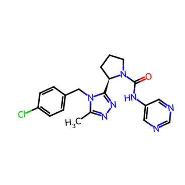 Cc1nnc([C@H]2CCCN2C(=O)Nc2cncnc2)n1Cc1ccc(Cl)cc1